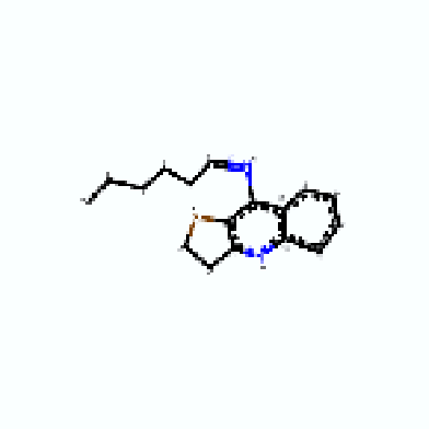 CCCCC/C=N\c1c2c(nc3ccccc13)CCS2